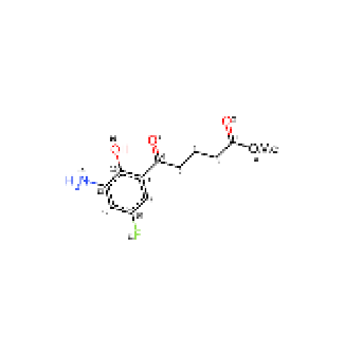 COC(=O)CCCC(=O)c1cc(F)cc(N)c1O